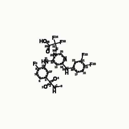 CNS(=O)(=O)c1ccc(F)c(Nc2cc(Nc3ccc(F)c(F)c3)ncn2)c1.O=C(O)C(F)(F)F